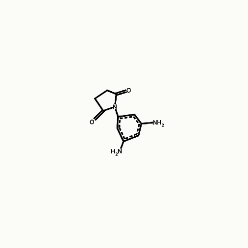 Nc1cc(N)cc(N2C(=O)CCC2=O)c1